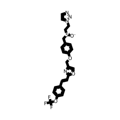 [O-][S+](CCn1ccnn1)Cc1ccc(OCc2coc(C=Cc3ccc(OC(F)(F)F)cc3)n2)cc1